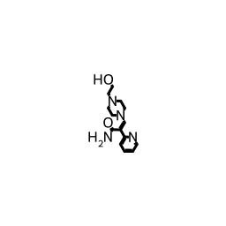 NC(=O)C(=CN1CCN(CCO)CC1)c1ccccn1